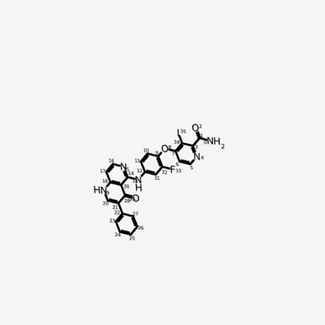 NC(=O)c1nccc(Oc2ccc(Nc3nccc4[nH]cc(-c5ccccc5)c(=O)c34)cc2F)c1I